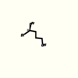 CCC[C@H](CC)CCCO